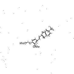 COCOc1ccc(/C=C/c2nc3ccc(N(C)C)cc3s2)cc1OC